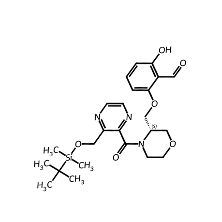 CC(C)(C)[Si](C)(C)OCc1nccnc1C(=O)N1CCOC[C@H]1COc1cccc(O)c1C=O